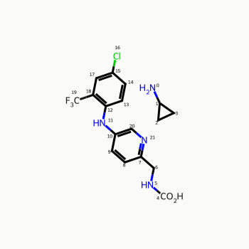 NC1CC1.O=C(O)NCc1ccc(Nc2ccc(Cl)cc2C(F)(F)F)cn1